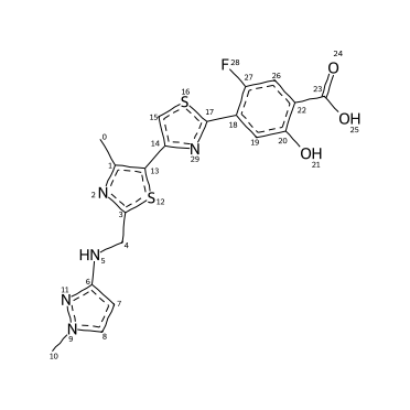 Cc1nc(CNc2ccn(C)n2)sc1-c1csc(-c2cc(O)c(C(=O)O)cc2F)n1